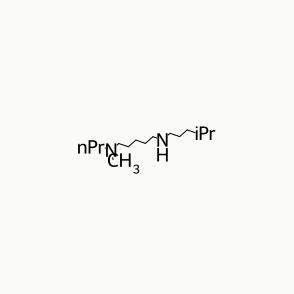 CCCN(C)CCCCCNCCCC(C)C